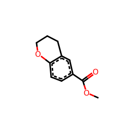 COC(=O)c1ccc2c(c1)CCCO2